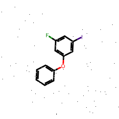 Fc1cc(I)cc(Oc2ccccc2)c1